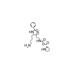 NCCCCC(NC(=O)c1ccccc1)C(=O)CCNC(=O)OC(=O)[C@@H]1CCCN1